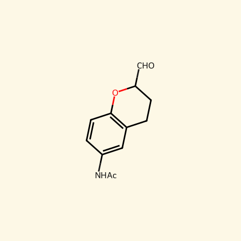 CC(=O)Nc1ccc2c(c1)CCC(C=O)O2